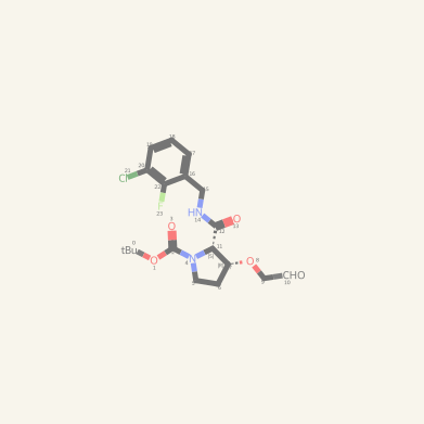 CC(C)(C)OC(=O)N1CC[C@@H](OCC=O)[C@H]1C(=O)NCc1cccc(Cl)c1F